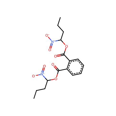 CCCC(OC(=O)c1ccccc1C(=O)OC(CCC)[N+](=O)[O-])[N+](=O)[O-]